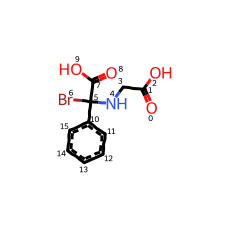 O=C(O)CNC(Br)(C(=O)O)c1ccccc1